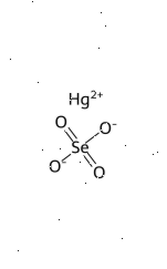 O=[Se](=O)([O-])[O-].[Hg+2]